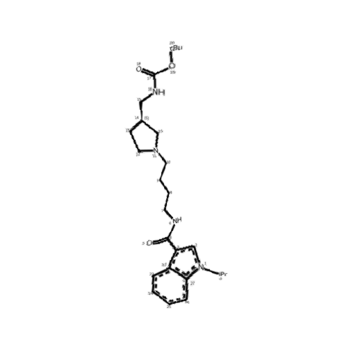 CC(C)n1cc(C(=O)NCCCCN2CC[C@@H](CNC(=O)OC(C)(C)C)C2)c2ccccc21